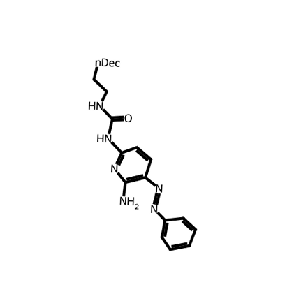 CCCCCCCCCCCCNC(=O)Nc1ccc(N=Nc2ccccc2)c(N)n1